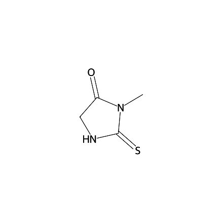 CN1C(=O)CNC1=S